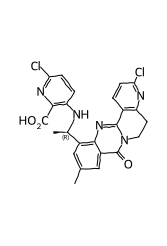 Cc1cc([C@@H](C)Nc2ccc(Cl)nc2C(=O)O)c2nc3n(c(=O)c2c1)CCc1nc(Cl)ccc1-3